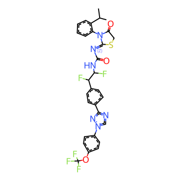 CC(C)c1ccccc1N1C(=O)CS/C1=N\C(=O)NC(F)C(F)c1ccc(-c2ncn(-c3ccc(OC(F)(F)F)cc3)n2)cc1